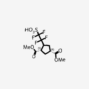 COC(=O)[C@H]1CC(C(F)(F)C(F)(F)S(=O)(=O)O)[C@@H](C(=O)OC)C1